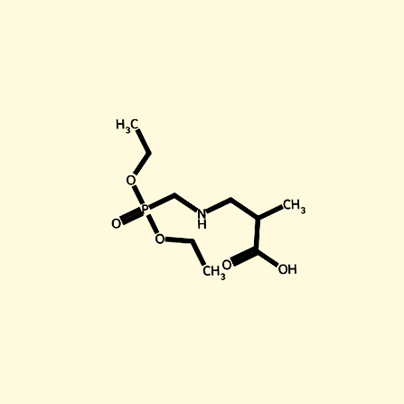 CCOP(=O)(CNCC(C)C(=O)O)OCC